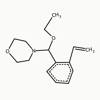 C=Cc1ccccc1C(OCC)N1CCOCC1